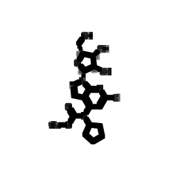 CC(C)(C)OC(=O)N(c1cc(Cl)nc2c1cnn2[C@@H]1O[C@H](CO)[C@@H](O)[C@H]1O)C1CCCC1